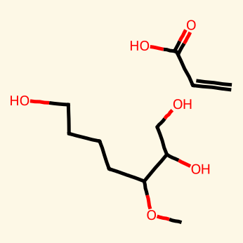 C=CC(=O)O.COC(CCCCO)C(O)CO